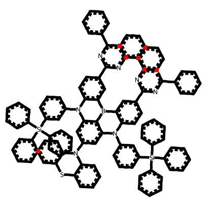 c1ccc(-c2nc(-c3ccccc3)nc(-c3ccc4c(c3)B3c5cc(-c6nc(-c7ccccc7)nc(-c7ccccc7)n6)ccc5N(c5cccc([Si](c6ccccc6)(c6ccccc6)c6ccccc6)c5)c5cc(N6c7ccccc7Sc7ccccc76)cc(c53)N4c3cccc([Si](c4ccccc4)(c4ccccc4)c4ccccc4)c3)n2)cc1